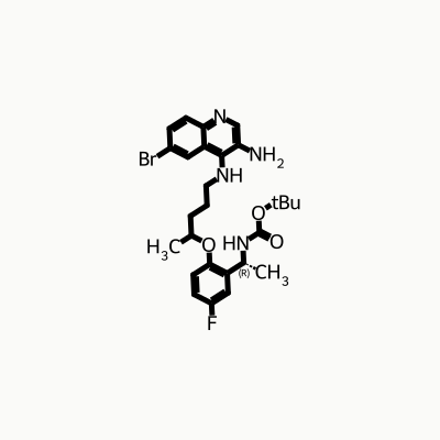 CC(CCCNc1c(N)cnc2ccc(Br)cc12)Oc1ccc(F)cc1[C@@H](C)NC(=O)OC(C)(C)C